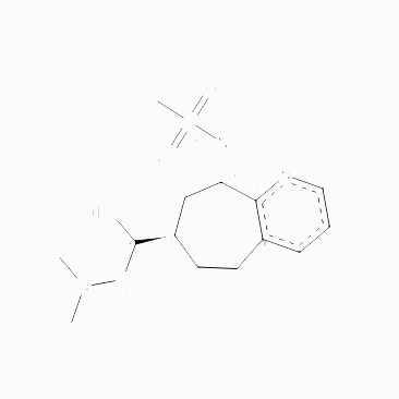 C[SiH](C)OC([C@@H]1CCc2cccnc2[C@@H](NS(C)(=O)=O)C1)C(C)(C)C